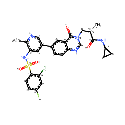 COc1ncc(-c2ccc3ncn(C[C@H](C)C(=O)NC4CC4)c(=O)c3c2)cc1NS(=O)(=O)c1ccc(F)cc1Cl